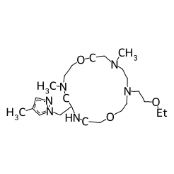 CCOCCN1CCOCCNC(Cn2cc(C)cn2)CN(C)CCOCCN(C)CC1